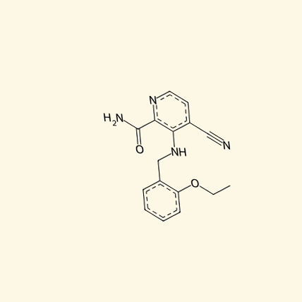 CCOc1ccccc1CNc1c(C#N)ccnc1C(N)=O